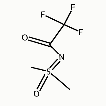 CS(C)(=O)=NC(=O)C(F)(F)F